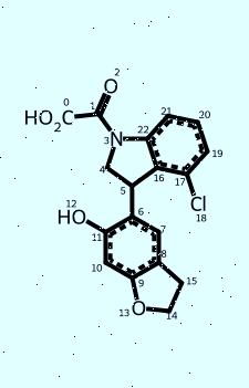 O=C(O)C(=O)N1CC(c2cc3c(cc2O)OCC3)c2c(Cl)cccc21